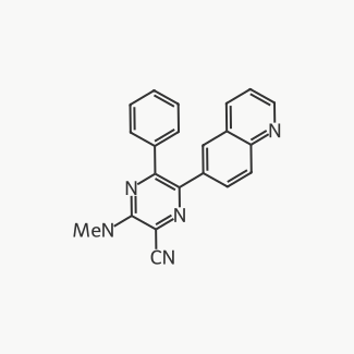 CNc1nc(-c2ccccc2)c(-c2ccc3ncccc3c2)nc1C#N